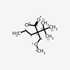 CCCC(COC)(C(=O)Cl)C(C)(C)C